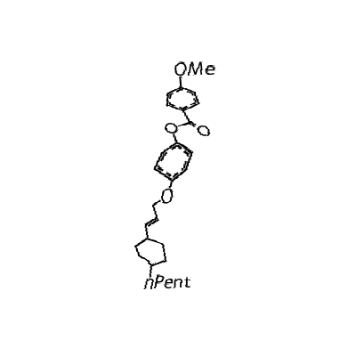 CCCCCC1CCC(C=CCOc2ccc(OC(=O)c3ccc(OC)cc3)cc2)CC1